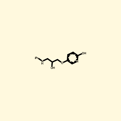 CC(C)NCC(O)COc1ccc(O)nc1